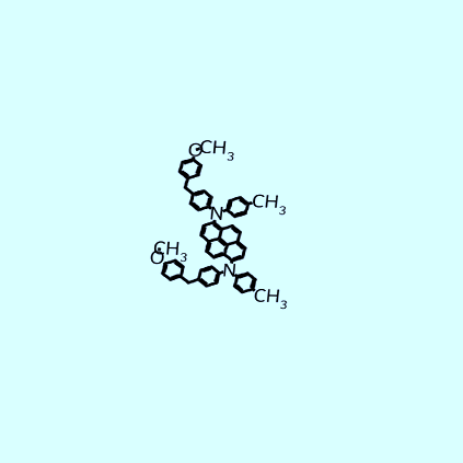 COc1ccc(Cc2ccc(N(c3ccc(C)cc3)c3ccc4ccc5c(N(c6ccc(C)cc6)c6ccc(Cc7ccc(OC)cc7)cc6)ccc6ccc3c4c65)cc2)cc1